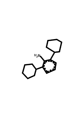 [BiH2][c]1c(C2CCCCC2)cccc1C1CCCCC1